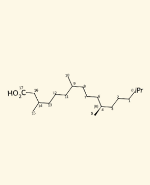 CC(C)CCC[C@@H](C)CCCC(C)CCCC(C)CC(=O)O